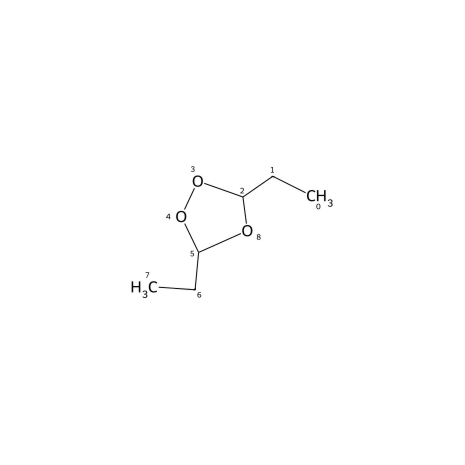 CCC1OOC(CC)O1